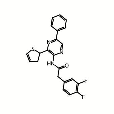 O=C(Cc1ccc(F)c(F)c1)Nc1ncc(-c2ccccc2)nc1C1CC=CS1